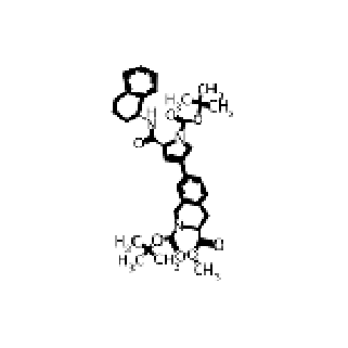 COC(=O)[C@@H]1Cc2ccc(C3=C[C@@H](C(=O)N[C@@H]4CCCc5ccccc54)N(C(=O)OC(C)(C)C)C3)cc2CN1C(=O)OC(C)(C)C